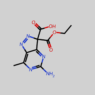 CCOC(=O)C1(C(=O)O)N=Nc2c(C)nc(N)nc21